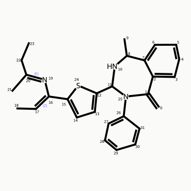 C=C1c2ccccc2C(C)NC(c2ccc(C(=C/C)/N=C(\C)CC)s2)N1c1ccccc1